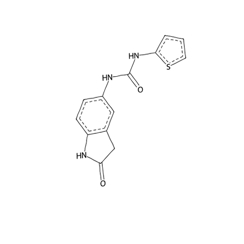 O=C1Cc2cc(NC(=O)Nc3cccs3)ccc2N1